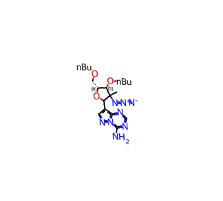 CCCCOC[C@H]1OC(c2cnn3c(N)ncnc23)C(C)(N=[N+]=[N-])[C@@H]1OCCCC